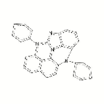 c1ccc(B2c3cccc4nc5n(-c6ccccc6)c6cccc7ccc2c(c76)n5c34)cc1